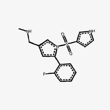 CNCc1cc(-c2ccccc2F)n(S(=O)(=O)c2cc[nH]c2)c1